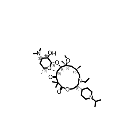 CCN1C[C@H](C)C[C@@](C)(OC)[C@H](O[C@@H]2O[C@H](C)C[C@H](N(C)C)[C@H]2O)[C@@H](C)C(=O)C(C)(C)C(=O)OC[C@H]1C1CCN(C(C)C)CC1